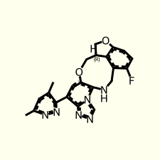 Cc1cc(C)c(-c2cc3c(n4cnnc24)NCc2c(F)ccc4c2[C@H](CO4)CO3)nn1